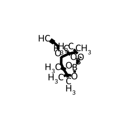 C#CCOC1CC2(C)OB(OC2(C)C)B2OC(C)(C)C1(C)O2